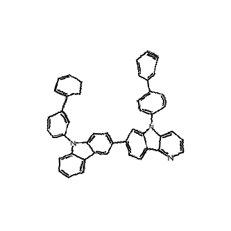 C1=CCCC(c2cccc(-n3c4ccccc4c4cc(-c5ccc6c7ncccc7n(-c7ccc(-c8ccccc8)cc7)c6c5)ccc43)c2)=C1